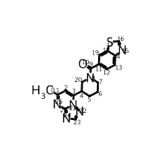 Cc1cc(C2CCCN(C(=O)c3ccc4ncsc4c3)C2)n2ncnc2n1